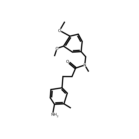 COc1ccc(CN(C)C(=O)CCc2ccc(N)c(C)c2)cc1OC